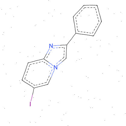 Ic1ccc2nc(-c3ccccc3)cn2c1